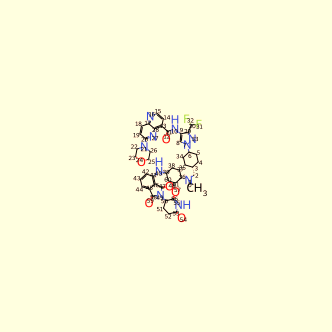 CN(C[C@H]1CC[C@H](n2cc(NC(=O)c3ccnc4ccc(N5CCOCC5)nc34)c(C(F)F)n2)CC1)[C@H]1CC[C@H](Nc2cccc3c2C(=O)N(C2CCC(=O)NC2=O)C3=O)CC1